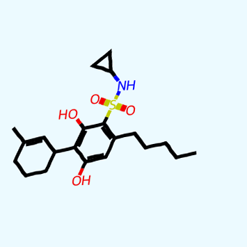 CCCCCc1cc(O)c(C2C=C(C)CCC2)c(O)c1S(=O)(=O)NC1CC1